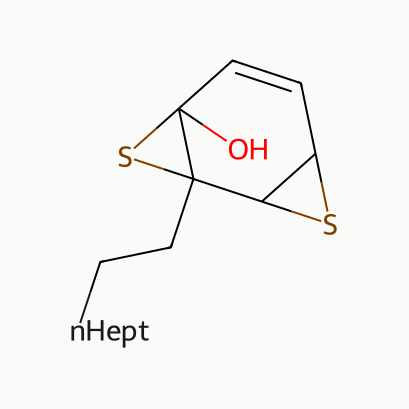 CCCCCCCCCC12SC1(O)C=CC1SC12